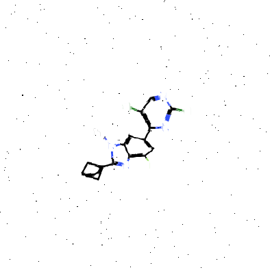 CC(C)n1c(C23CC(C2)C3)nc2c(F)cc(-c3nc(Cl)ncc3Cl)cc21